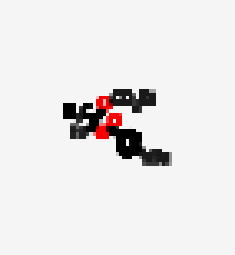 CCCCc1ccc(C(=O)OC(CC)C(C)COC(=O)OCC)cc1